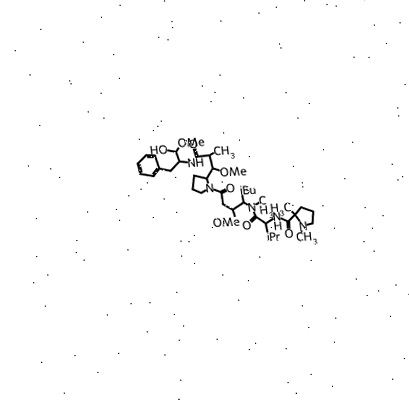 CCC(C)C(C(CC(=O)N1CCCC1C(OC)C(C)C(=O)NC(Cc1ccccc1)C(O)OC)OC)N(C)C(=O)C(NC(=O)C1(C)CCCN1C)C(C)C